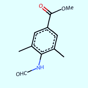 COC(=O)c1cc(C)c(NC=O)c(C)c1